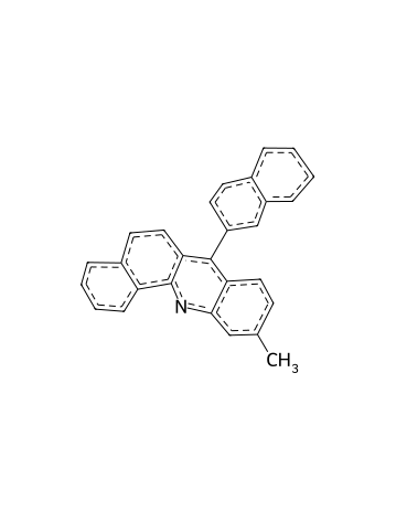 Cc1ccc2c(-c3ccc4ccccc4c3)c3ccc4ccccc4c3nc2c1